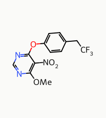 COc1ncnc(Oc2ccc(CC(F)(F)F)cc2)c1[N+](=O)[O-]